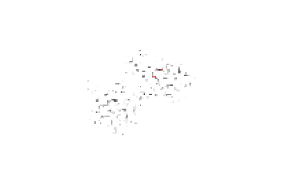 c1ccc(-c2nc(-c3ccccc3-n3c4cc5ccccc5cc4c4c(-n5c6ccccc6c6cc(-c7ccc(-n8c9ccccc9c9c(-n%10c%11ccccc%11c%11ccccc%11%10)c%10ccccc%10cc98)c(-c8nc(-c9ccccc9)nc(-c9cccc%10ccccc9%10)n8)c7)ccc65)cccc43)nc(-c3cccc4ccccc34)n2)cc1